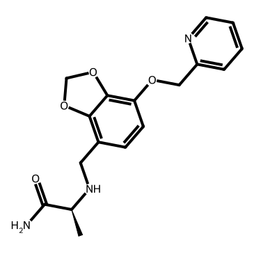 C[C@H](NCc1ccc(OCc2ccccn2)c2c1OCO2)C(N)=O